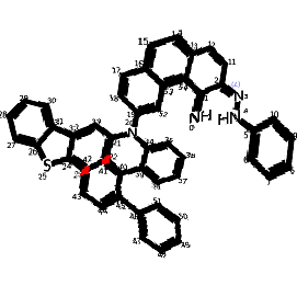 N=C1/C(=N\Nc2ccccc2)C=Cc2ccc3ccc(N(c4ccc5sc6ccccc6c5c4)c4ccccc4-c4ccccc4-c4ccccc4)cc3c21